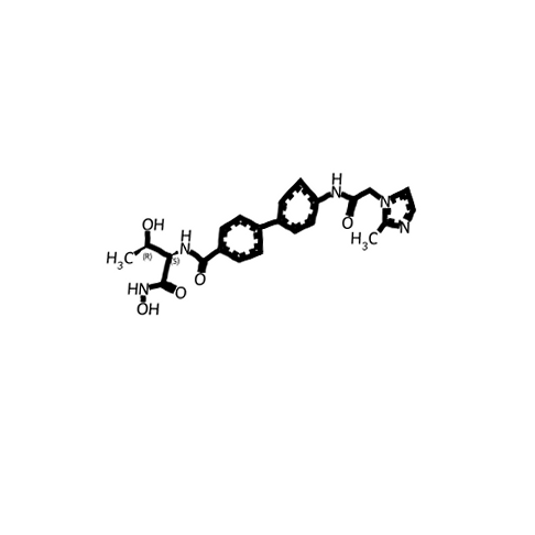 Cc1nccn1CC(=O)Nc1ccc(-c2ccc(C(=O)N[C@H](C(=O)NO)[C@@H](C)O)cc2)cc1